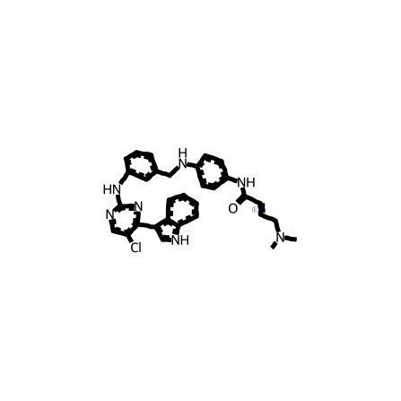 CN(C)C/C=C/C(=O)Nc1ccc(NCc2cccc(Nc3ncc(Cl)c(-c4c[nH]c5ccccc45)n3)c2)cc1